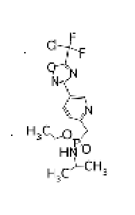 CCOP(=O)(Cc1ccc(-c2noc(C(F)(F)Cl)n2)cn1)NC(C)C